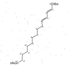 [CH2]OC=CC=CCCCCCCCCCCCCCCCCCC